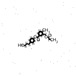 C=CC(=O)OCc1cc(C(=O)Oc2ccc(CCCO)cc2)ccc1C